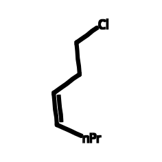 CCC/C=C\CCCl